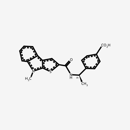 C[C@@H](NC(=O)c1cc2c3ccccc3n(C)c2s1)c1ccc(C(=O)O)cc1